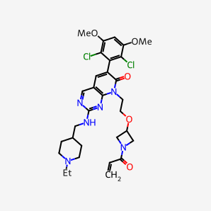 C=CC(=O)N1CC(OCCn2c(=O)c(-c3c(Cl)c(OC)cc(OC)c3Cl)cc3cnc(NCC4CCN(CC)CC4)nc32)C1